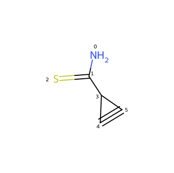 NC(=S)C1C#C1